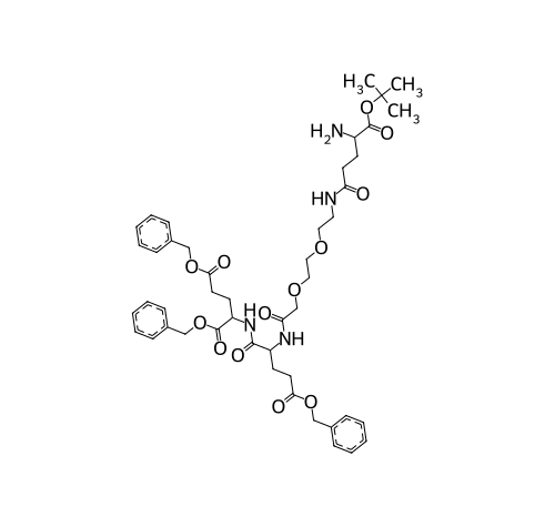 CC(C)(C)OC(=O)C(N)CCC(=O)NCCOCCOCC(=O)NC(CCC(=O)OCc1ccccc1)C(=O)NC(CCC(=O)OCc1ccccc1)C(=O)OCc1ccccc1